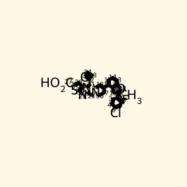 C[C@]1(c2ccc(Cl)cc2F)Cc2c(cccc2C2=CCN(Cc3nc4sc(C(=O)O)cc4n3C[C@@H]3CCO3)CC2)O1